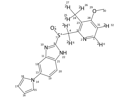 [2H]c1nc(C([2H])([2H])[S+]([O-])c2nc3cc(-n4cccc4)ccc3[nH]2)c(C([2H])([2H])[2H])c(OC)c1[2H]